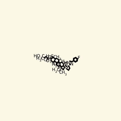 C=C(C)[C@@H]1CC[C@]2(C(=O)N3CCC[C@H]3c3nc(-c4ccc(F)cc4)c[nH]3)CC[C@]3(C)[C@H](CCC4[C@@]5(C)CC[C@H](OC(=O)CC(C)(C)C(=O)O)C(C)(C)C5CC[C@]43C)C12